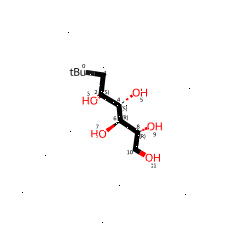 CC(C)(C)C[C@H](O)[C@H](O)[C@H](O)[C@H](O)CO